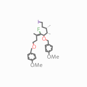 COc1ccc(COCC/C(C)=C(/F)C(OCc2ccc(OC)cc2)[C@@H](C)[C@@H](C)CCI)cc1